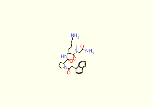 NCCCCC(NC(=O)C1CCCN1C(=O)Cc1cccc2ccccc12)C(=O)NCC(N)=O